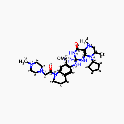 CCC1CN(C)C2=C(N[C@@](N)(Nc3cc4c(cc3OC)N(C(=O)CN3CCN(C)CC3)CCC4)NC2=O)N1C1CCCC1